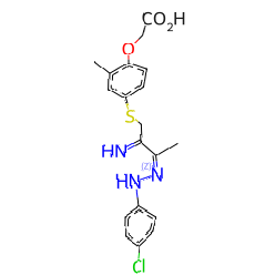 C/C(=N/Nc1ccc(Cl)cc1)C(=N)CSc1ccc(OCC(=O)O)c(C)c1